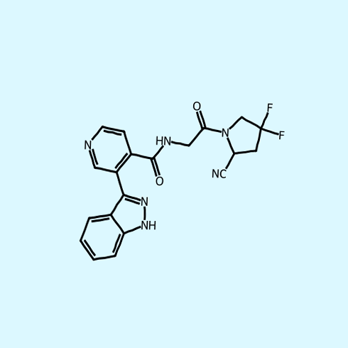 N#CC1CC(F)(F)CN1C(=O)CNC(=O)c1ccncc1-c1n[nH]c2ccccc12